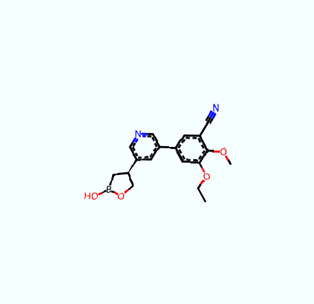 CCOc1cc(-c2cncc([C@H]3COB(O)C3)c2)cc(C#N)c1OC